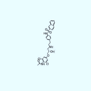 CC(=O)Nc1c(Cl)cc(OC[C@@H](O)CNCCc2ccc(NS(=O)(=O)c3ccc4ccccc4c3)cc2)cc1Cl